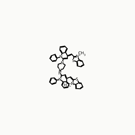 CN1/C(=C\c2c/c(=N\N3CCN(C4=C/C(=C\c5sc6ccccc6[n+]5C)c5ccccc5N4c4ccccc4)CC3)n(-c3ccccc3)c3ccccc23)Sc2ccccc21